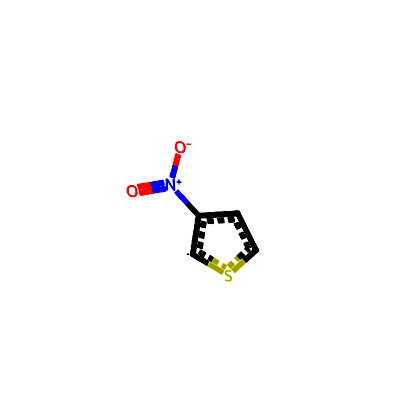 O=[N+]([O-])c1[c]scc1